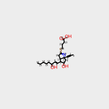 CC#CC12CC(O)C(C=CC(O)CCCCC)C1CC(SCCCC(=O)O)=N2